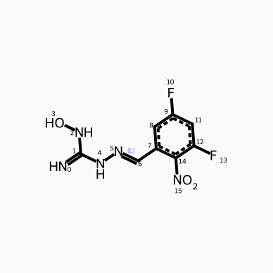 N=C(NO)N/N=C/c1cc(F)cc(F)c1[N+](=O)[O-]